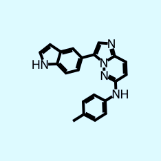 Cc1ccc(Nc2ccc3ncc(-c4ccc5[nH]ccc5c4)n3n2)cc1